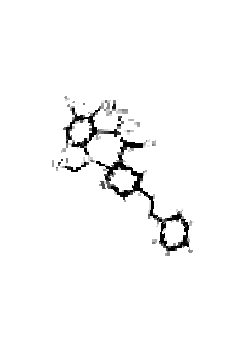 CCN1c2ncc(CCc3ccccc3)cc2C(=O)N(C)c2c1ncc(C)c2C